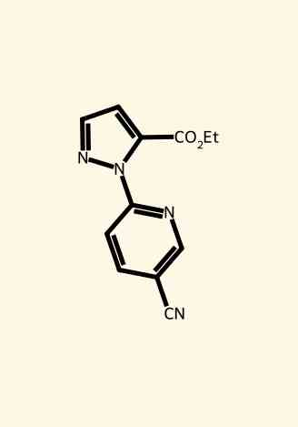 CCOC(=O)c1ccnn1-c1ccc(C#N)cn1